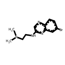 CN(C)CCNc1cnc2ccc(Br)cc2n1